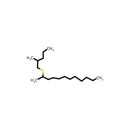 CCCCCCCCCCC(C)SCC(C)CCC